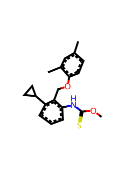 COC(=S)Nc1cccc(C2CC2)c1COc1ccc(C)cc1C